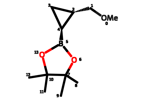 COC[C@H]1C[C@@H]1B1OC(C)(C)C(C)(C)O1